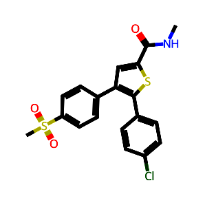 CNC(=O)c1cc(-c2ccc(S(C)(=O)=O)cc2)c(-c2ccc(Cl)cc2)s1